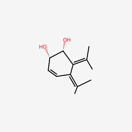 CC(C)=C1C=C[C@H](O)[C@H](O)C1=C(C)C